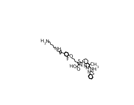 Cc1c(Nc2nc3ccccc3s2)nnc2c1CCCN2c1nc(C(=O)O)c(CCCOc2ccc(C34CC3(CNCCCCN)C4)cc2F)s1